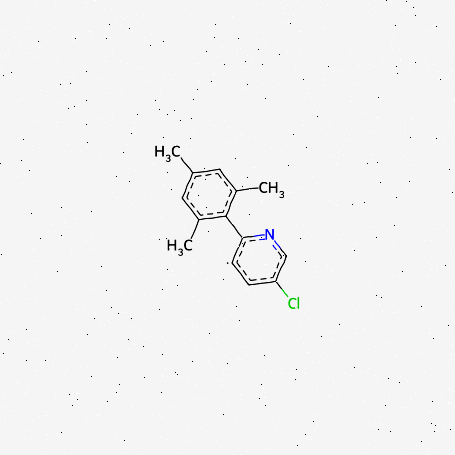 Cc1cc(C)c(-c2[c]cc(Cl)cn2)c(C)c1